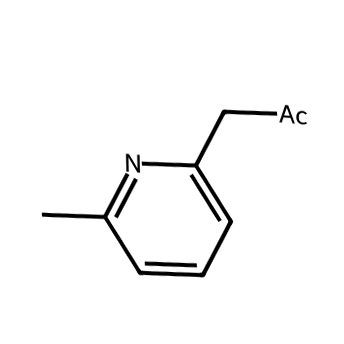 CC(=O)Cc1cccc(C)n1